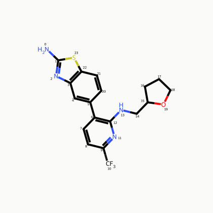 Nc1nc2[c]c(-c3ccc(C(F)(F)F)nc3NCC3CCCO3)ccc2s1